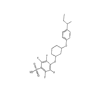 CCC(C)c1ccc(OC2CCCC(Oc3c(F)c(F)c(S(=O)(=O)O)c(F)c3F)C2)cc1